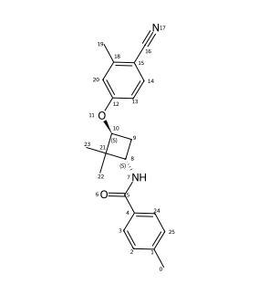 Cc1ccc(C(=O)N[C@H]2C[C@H](Oc3ccc(C#N)c(C)c3)C2(C)C)cc1